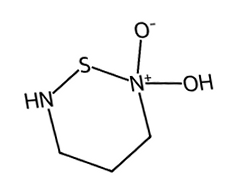 [O-][N+]1(O)CCCNS1